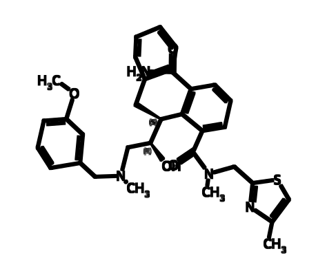 COc1cccc(CN(C)C[C@H](O)[C@@H](Cc2ccccc2)c2c(C(N)=O)cccc2C(=O)N(C)Cc2nc(C)cs2)c1